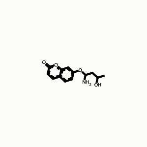 CC(O)CC(N)Oc1ccc2ccc(=O)oc2c1